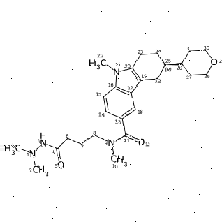 CN(C)NC(=O)CCCN(C)C(=O)c1ccc2c(c1)c1c(n2C)CC[C@@H](C2CCOCC2)C1